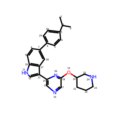 CC(C)c1ccc(-c2ccc3[nH]cc(-c4cncc(OC5CCCNC5)n4)c3c2)cc1